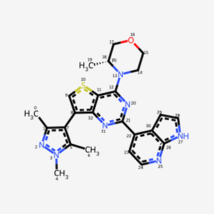 Cc1nn(C)c(C)c1-c1csc2c(N3CCOC[C@H]3C)nc(-c3ccnc4[nH]ccc34)nc12